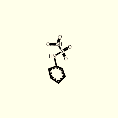 O=[SH](=O)S(=O)(=O)Nc1ccccc1